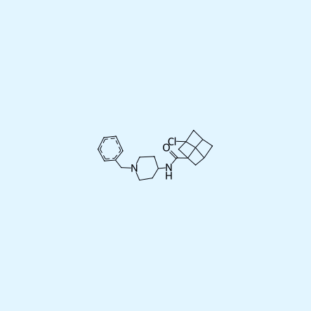 O=C(NC1CCN(Cc2ccccc2)CC1)C12CC3CC4CC(Cl)(C1)C432